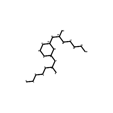 CCCCCC(C)CC1CCCC(CC(C)CCCCC)C1